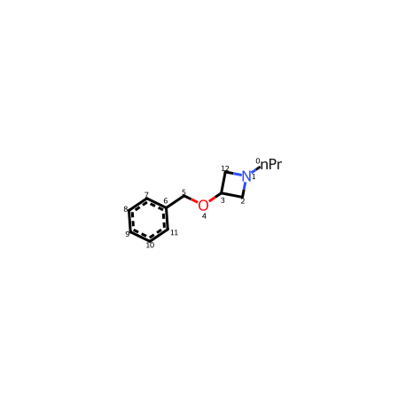 CCCN1CC(OCc2ccccc2)C1